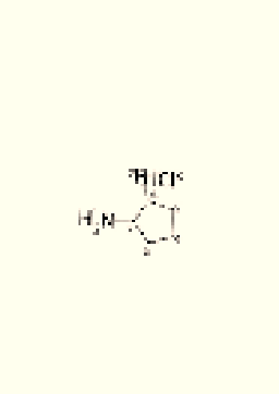 Cl.N[C@H]1CCC[C@H]1F